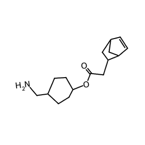 NCC1CCC(OC(=O)CC2CC3C=CC2C3)CC1